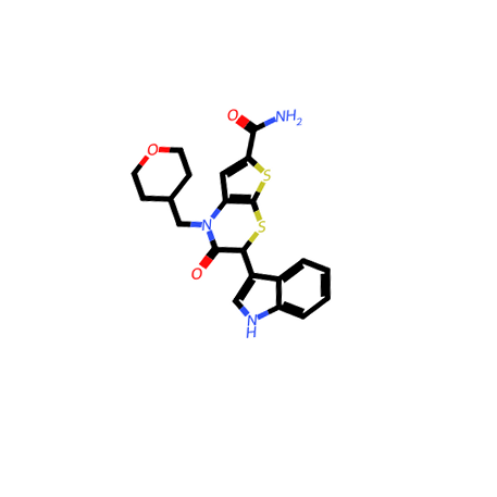 NC(=O)c1cc2c(s1)SC(c1c[nH]c3ccccc13)C(=O)N2CC1CCOCC1